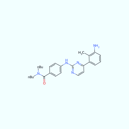 CCCCN(CCCC)C(=O)c1ccc(Nc2nccc(-c3cccc(N)c3C)n2)cc1